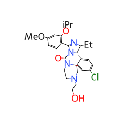 CCC1N=C(c2ccc(OC)cc2OC(C)C)N(C(=O)N2CCN(CCO)CC2)[C@H]1c1ccc(Cl)cc1